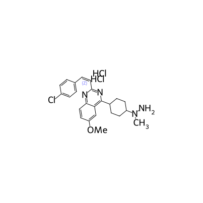 COc1ccc2nc(/C=C\c3ccc(Cl)cc3)nc(C3CCC(N(C)N)CC3)c2c1.Cl.Cl